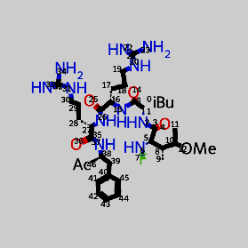 CC[C@H](C)[C@H](NC(=O)[C@@H](NF)[C@@H](C)C(C)OC)C(=O)N[C@@H](CCCNC(=N)N)C(=O)N[C@@H](CCCNC(=N)N)C(=O)N[C@@H](Cc1ccccc1)C(C)=O